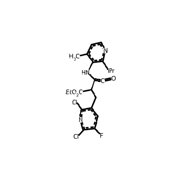 CCOC(=O)C(Cc1cc(F)c(Cl)nc1Cl)C(=C=O)Nc1c(C)ccnc1C(C)C